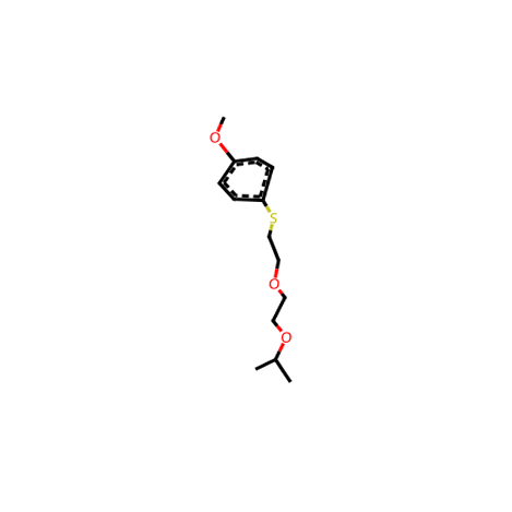 COc1ccc(SCCOCCOC(C)C)cc1